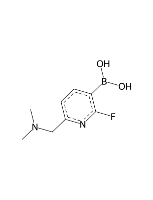 CN(C)Cc1ccc(B(O)O)c(F)n1